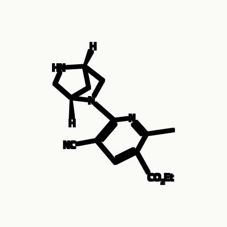 CCOC(=O)c1cc(C#N)c(N2C[C@@H]3C[C@H]2CN3)nc1C